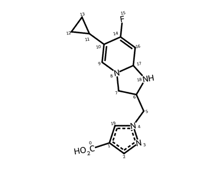 O=C(O)c1cnn(CC2CN3C=C(C4CC4)C(F)=CC3N2)c1